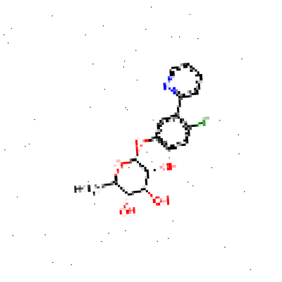 O=S(=O)(O)C1O[C@@H](Oc2ccc(F)c(-c3ccccn3)c2)[C@H](O)[C@@H](O)[C@@H]1O